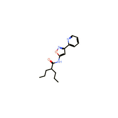 CCCC(CCC)C(=O)Nc1cc(-c2ccccn2)no1